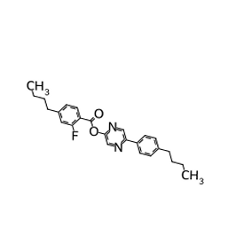 CCCCc1ccc(-c2cnc(OC(=O)c3ccc(CCCC)cc3F)cn2)cc1